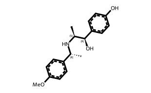 COc1ccc([C@@H](C)N[C@@H](C)[C@H](O)c2ccc(O)cc2)cc1